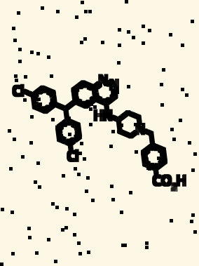 O=C(O)c1ccc(CN2CCC(Nc3cnnc4ccc(C(c5ccc(Cl)cc5)c5ccc(Cl)cc5)cc34)CC2)cc1